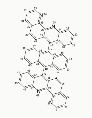 c1cnc2c(c1)ccc1c(-c3c4ccccc4c(-c4c5ccccc5nc5c4ccc4cccnc45)c4ccccc34)c3ccccc3nc12